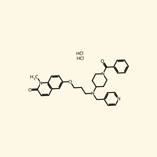 Cl.Cl.Cn1c(=O)ccc2cc(OCCCN(Cc3ccncc3)C3CCN(C(=O)c4ccccc4)CC3)ccc21